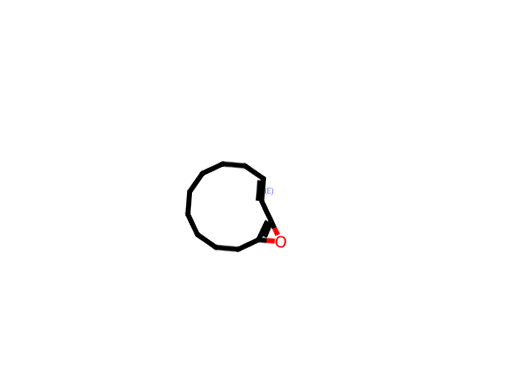 C1=C/C2=C(CCCCCCCC/1)O2